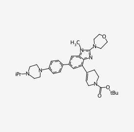 CC(C)N1CCN(c2ccc(-c3cc(C4=CCN(C(=O)OC(C)(C)C)CC4)c4nc(N5CCOCC5)n(C)c4c3)cc2)CC1